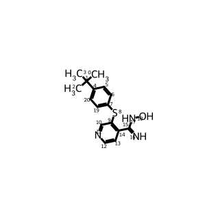 CC(C)(C)c1ccc(Sc2cnccc2C(=N)NO)cc1